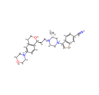 C[C@@H]1CN(c2csc3cc(C#N)ccc23)CCN1CC[C@@H]1OCCc2cc(N3CCOCC3)ccc21